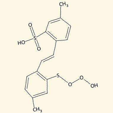 Cc1ccc(/C=C/c2ccc(C)cc2S(=O)(=O)O)c(SOOO)c1